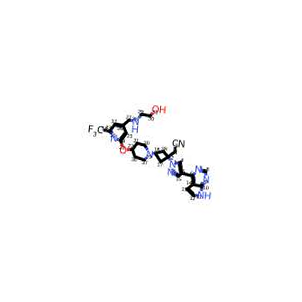 N#CCC1(n2cc(-c3ncnc4[nH]ccc34)cn2)CC(N2CCC(Oc3cc(CNCCO)cc(C(F)(F)F)n3)CC2)C1